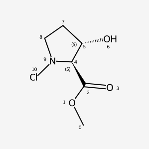 COC(=O)[C@@H]1[C@@H](O)CCN1Cl